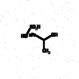 CCCC(C)O.O=S(=O)(O)O